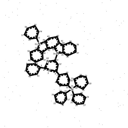 c1ccc(-c2nc(-c3ccc([Si](c4ccccc4)(c4ccccc4)c4ccccc4)cc3)cc(-n3c4ccccc4c4ccc5c(c6ccccc6n5-c5ccccc5)c43)n2)cc1